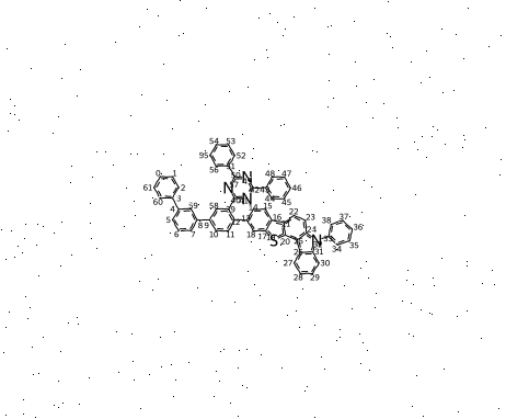 c1ccc(-c2cccc(-c3ccc(-c4ccc5c(c4)sc4c5ccc5c4c4ccccc4n5-c4ccccc4)c(-c4nc(-c5ccccc5)nc(-c5ccccc5)n4)c3)c2)cc1